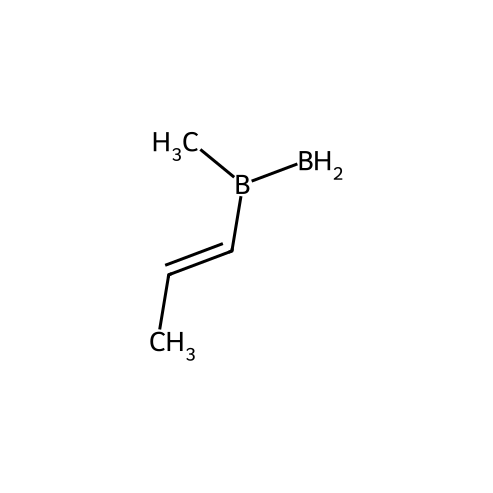 BB(C)C=CC